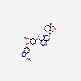 Cc1cc(Nc2ncnc3cnc(N4CCC[C@@H]5COC[C@@H]54)nc23)ccc1Oc1ccc2c(c1)ncn2C